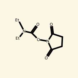 CCN(CC)C(=O)ON1C(=O)CCC1=O